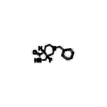 O=C1NC[C@@]2(F)CN(Cc3ccccc3)CC[C@@H]12